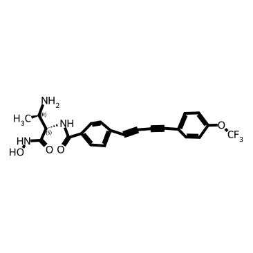 C[C@@H](N)[C@H](NC(=O)c1ccc(C#CC#Cc2ccc(OC(F)(F)F)cc2)cc1)C(=O)NO